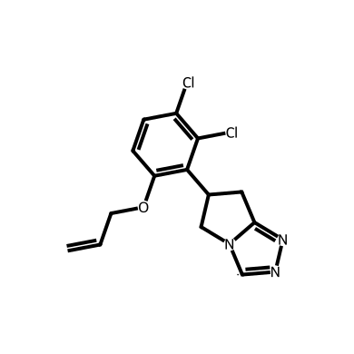 C=CCOc1ccc(Cl)c(Cl)c1C1Cc2nn[c]n2C1